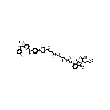 Cc1cnc(Nc2ccc(N3CCN(C(=O)CCC(=O)NCCCCNC(=O)COc4cccc5c4C(=O)N(C(CCC=O)C(N)=O)C5=O)CC3)cc2)nc1Nc1cccc(S)c1